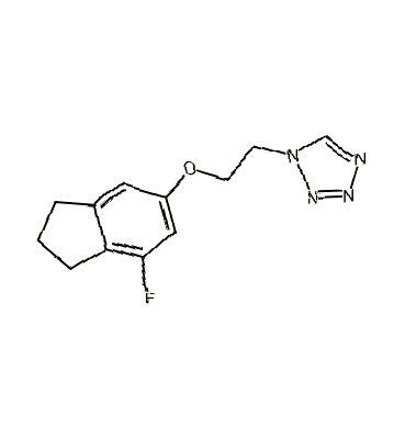 Fc1cc(OCCn2cnnn2)cc2c1CCC2